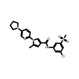 Cc1cc(C(=O)Nc2cc(Cl)cc(S(C)(=O)=O)c2)cn1-c1ccc(N2CCCC2)cn1